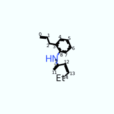 C=CCc1ccccc1NC(=C)/C=C\CC